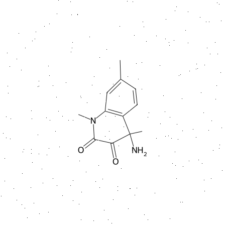 Cc1ccc2c(c1)N(C)C(=O)C(=O)C2(C)N